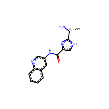 CCC[C@@H](N)c1nc(C(=O)Nc2cnc3ccccc3c2)c[nH]1